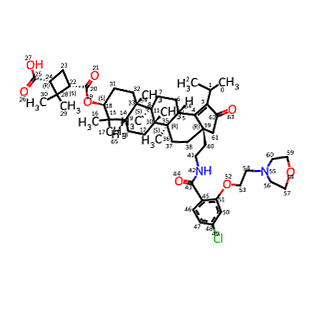 CC(C)C1=C2[C@H]3CC[C@@]4(C)[C@@](C)(CC[C@H]5C(C)(C)[C@@H](OC(=O)[C@H]6C[C@@H](C(=O)O)C6(C)C)CC[C@@]54C)[C@]3(C)CC[C@@]2(CCNC(=O)c2ccc(Cl)cc2OCCN2CCOCC2)CC1=O